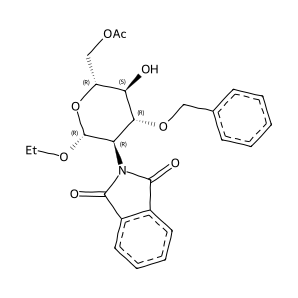 CCO[C@@H]1O[C@H](COC(C)=O)[C@@H](O)[C@H](OCc2ccccc2)[C@H]1N1C(=O)c2ccccc2C1=O